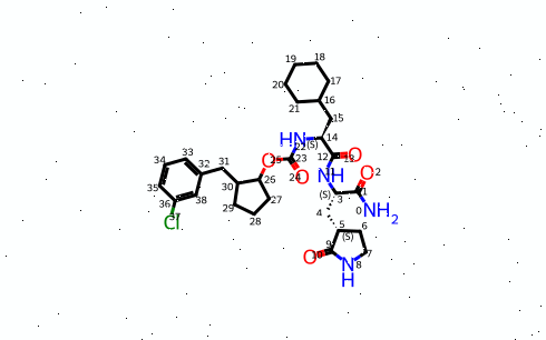 NC(=O)[C@H](C[C@@H]1CCNC1=O)NC(=O)[C@H](CC1CCCCC1)NC(=O)OC1CCCC1Cc1cccc(Cl)c1